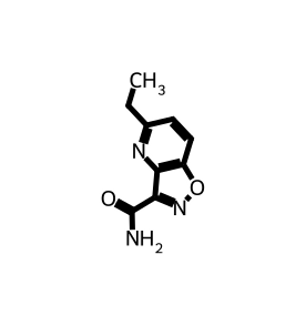 CCc1ccc2onc(C(N)=O)c2n1